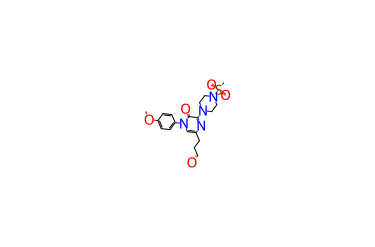 COc1ccc(-n2cc(CCC=O)nc(N3CCN(S(C)(=O)=O)CC3)c2=O)cc1